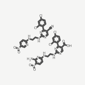 N#Cc1cnc(NCCNc2ccc([N+](=O)[O-])cn2)nc1-c1ccc(Cl)cc1Cl.Nc1nc(NCCNc2ncc(C(=O)O)c(-c3ccc(Cl)cc3Cl)n2)ccc1[N+](=O)[O-]